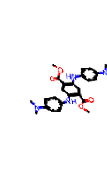 COC(=O)C1=C(Nc2ccc(N(C)C)cc2)CC(C(=O)OC)=C(Nc2ccc(N(C)C)cc2)C1